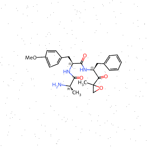 COc1ccc(C[C@H](NC(=O)[C@@H](C)N)C(=O)N[C@@H](Cc2ccccc2)C(=O)C2(C)CO2)cc1